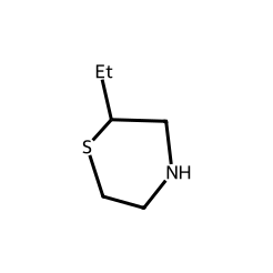 CCC1CNCCS1